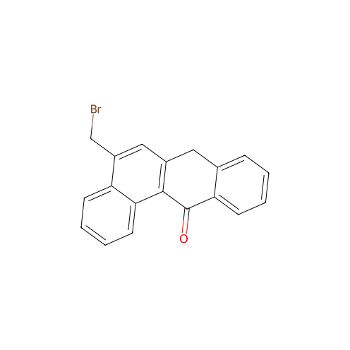 O=C1c2ccccc2Cc2cc(CBr)c3ccccc3c21